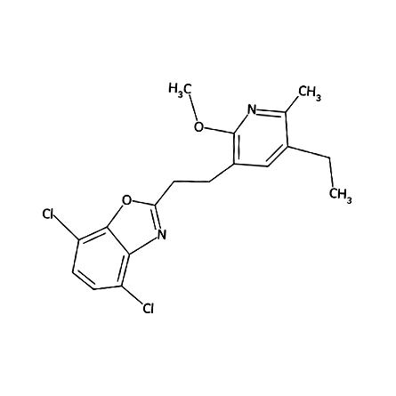 CCc1cc(CCc2nc3c(Cl)ccc(Cl)c3o2)c(OC)nc1C